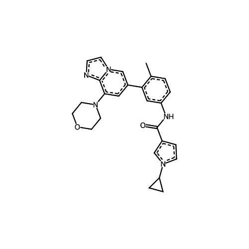 Cc1ccc(NC(=O)c2ccn(C3CC3)c2)cc1-c1cc(N2CCOCC2)c2nccn2c1